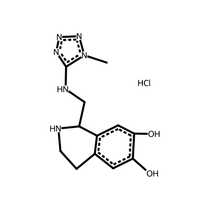 Cl.Cn1nnnc1NCC1NCCc2cc(O)c(O)cc21